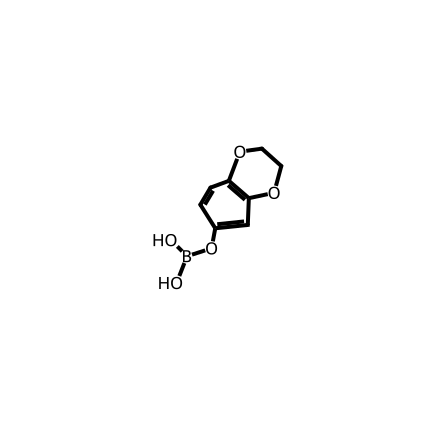 OB(O)Oc1ccc2c(c1)OCCO2